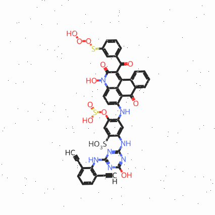 C#Cc1cccc(C#C)c1Nc1nc(O)nc(Nc2cc(Nc3ccc4c5c3C(=O)c3ccccc3-c5c(C(=O)c3cccc(SOOO)c3)c(=O)n4O)c(OS(=O)O)cc2S(=O)(=O)O)n1